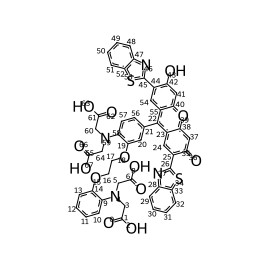 O=C(O)CN(CC(=O)O)c1ccccc1OCCOc1cc(-c2c3cc(-c4nc5ccccc5s4)c(=O)cc-3oc3cc(O)c(-c4nc5ccccc5s4)cc23)ccc1N(CC(=O)O)CC(=O)O